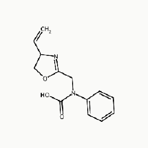 C=CC1COC(CN(C(=O)O)c2ccccc2)=N1